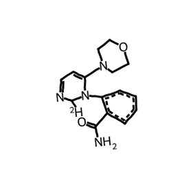 [2H]C1N=CC=C(N2CCOCC2)N1c1ccccc1C(N)=O